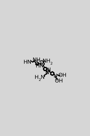 N=C/C=C(\N)c1ccc(CNC(CC(N)=O)c2ccc3c(c2)nc(-c2ccc(N(CCO)CCO)cc2)n3CCCN)s1